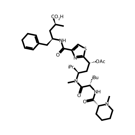 CCC(C)[C@H](NC(=O)[C@H]1CCCCN1C)C(=O)N(C)[C@H](C[C@@H](OC(C)=O)c1nc(C(=O)N[C@@H](CC2=CCCC=C2)C[C@H](C)C(=O)O)cs1)C(C)C